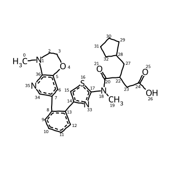 CN1CCOc2cc(-c3ccccc3-c3csc(N(C)C(=O)C(CC(=O)O)CC4CCCC4)n3)cnc21